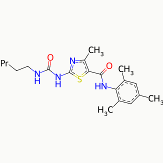 Cc1cc(C)c(NC(=O)c2sc(NC(=O)NCCC(C)C)nc2C)c(C)c1